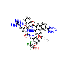 COc1cccc(CNC(=O)[C@H](CCCNC(=N)N)NC(=O)C(NC(=O)C(Cc2ccc(C(=N)N)cc2)C2CCCCC2)C2CCCCC2)c1.O=C(O)C(F)(F)F